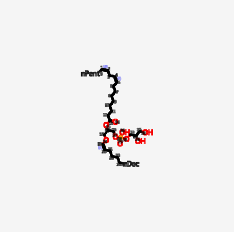 CCCCC/C=C\C/C=C\CCCCCCCC(=O)O[C@H](CO/C=C\CCCCCCCCCCCCCC)COP(=O)(O)OC[C@@H](O)CO